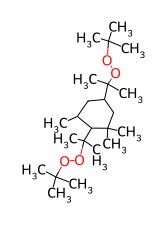 CC1CC(C(C)(C)OOC(C)(C)C)CC(C)(C)C1C(C)(C)OOC(C)(C)C